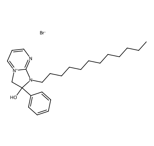 CCCCCCCCCCCCN1c2nccc[n+]2CC1(O)c1ccccc1.[Br-]